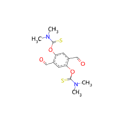 CN(C)C(=S)Oc1cc(C=O)c(OC(=S)N(C)C)cc1C=O